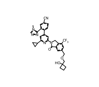 Cn1cnnc1-c1cc(C#N)ccc1-c1cc(C2CC2)nc(N2Cc3c(cc(COCC4(O)CCC4)cc3C(F)(F)F)C2=O)c1